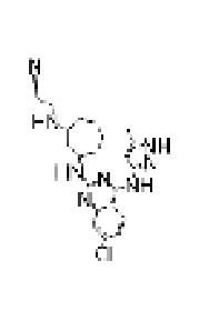 Cc1cc(Nc2nc(NC3CC(C)CCC(NCCC#N)C3)nc3cc(Cl)ccc23)n[nH]1